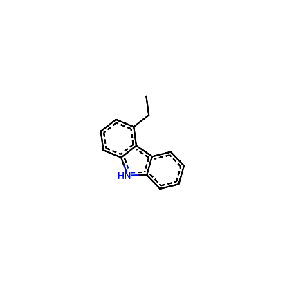 CCc1cccc2[nH]c3ccccc3c12